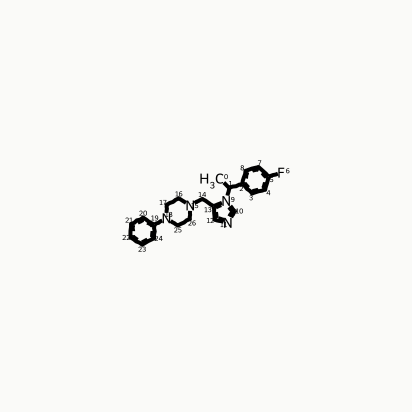 CC(c1ccc(F)cc1)n1cncc1CN1CCN(c2ccccc2)CC1